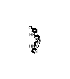 O=C(Cc1nnc2ccc(Nc3cccc(Cl)c3)nn12)Nc1cccnc1